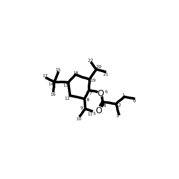 CCC(C)C(=O)OC1C(C(C)C)CC(C(C)(C)C)CC1C(C)C